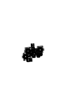 N#Cc1ccccc1Cn1c(=O)c(C2=NS(=O)(=O)c3ccccc3N2)c(O)c2cccnc21